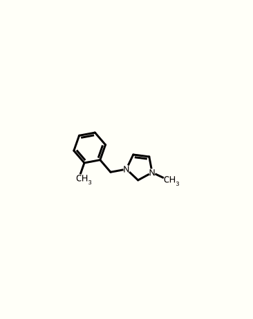 Cc1ccccc1CN1C=CN(C)C1